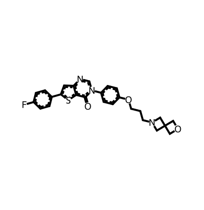 O=c1c2sc(-c3ccc(F)cc3)cc2ncn1-c1ccc(OCCCN2CC3(COC3)C2)cc1